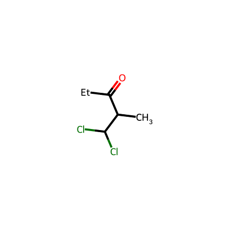 CCC(=O)C(C)C(Cl)Cl